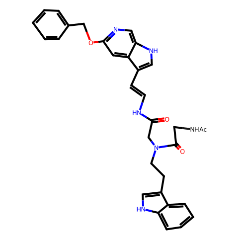 CC(=O)NCC(=O)N(CCc1c[nH]c2ccccc12)CC(=O)NC=Cc1c[nH]c2cnc(OCc3ccccc3)cc12